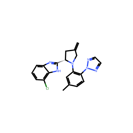 C=C1C[C@@H](c2nc3cccc(Cl)c3[nH]2)N(c2cc(C)c[c]c2-n2nccn2)C1